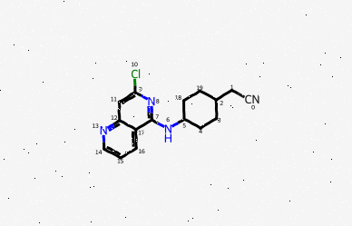 N#CCC1CCC(Nc2nc(Cl)cc3ncccc23)CC1